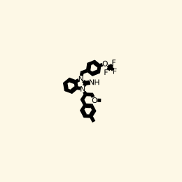 COCC(Cc1ccc(C)cc1)n1c(=N)n(Cc2ccc(OC(F)(F)F)cc2)c2ccccc21